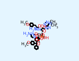 COc1ccc(C[C@H](N)C(=O)N[C@H]2[C@@H](O)[C@H](n3cnc4c(N(C)C)ncnc43)O[C@@H]2COP(=O)(O)O[C@H]2C[C@H](n3ccc(N)nc3=O)O[C@@H]2COC(c2ccccc2)(c2ccc(OC)cc2)c2ccc(OC)cc2)cc1